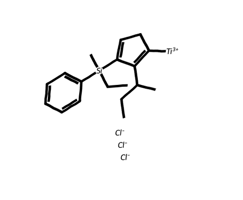 CCC(C)C1=[C]([Ti+3])CC=C1[Si](C)(CC)c1ccccc1.[Cl-].[Cl-].[Cl-]